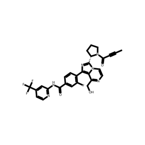 CC#CC(=O)N1CCC[C@H]1c1nc(-c2ccc(C(=O)Nc3cc(C(F)(F)F)ccn3)cc2F)c2c(CO)nccn12